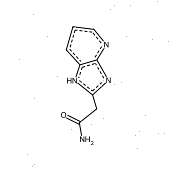 NC(=O)Cc1nc2ncccc2[nH]1